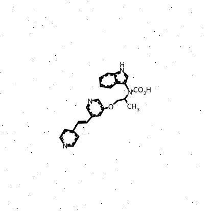 CC(COc1cncc(C=Cc2ccncc2)c1)N(C(=O)O)c1c[nH]c2ccccc12